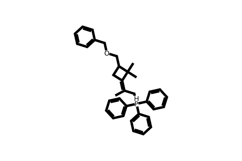 CC(C[PH](c1ccccc1)(c1ccccc1)c1ccccc1)=C1CC(COCc2ccccc2)C1(C)C